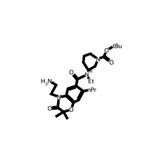 CCCc1cc2c(cc1C(=O)N(CC)[C@@H]1CCCN(C(=O)OC(C)(C)C)C1)N(CCN)C(=O)C(C)(C)O2